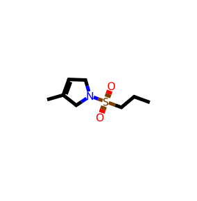 CCCS(=O)(=O)N1CC=C(C)C1